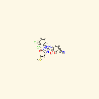 CSCC[C@@H]1N=C(Nc2ccc(C#N)cc2O)N(c2cccc(Cl)c2Cl)C1=O